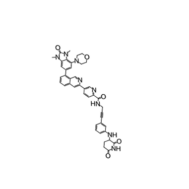 Cn1c(=O)n(C)c2c(N3CCOCC3)cc(-c3cccc4cc(-c5ccc(C(=O)NCC#Cc6cccc(NC7CCC(=O)NC7=O)c6)nc5)ncc34)cc21